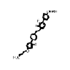 C=CCCOc1ccc(C2CCC(CCc3ccc(-c4ccc(OCCCC)cc4)c(F)c3F)CC2)c(F)c1